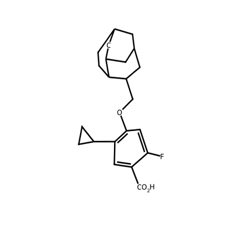 O=C(O)c1cc(C2CC2)c(OCC2CC3CC4CCC2C(C4)C3)cc1F